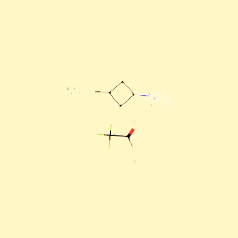 CO[C@H]1C[C@@H](N)C1.O=C(O)C(F)(F)F